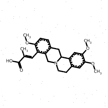 COc1cc2c(cc1OC)C1Cc3ccc(OC)c(C=C(C)C(=O)O)c3CN1CC2